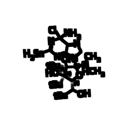 C[SiH](C)[C@@]1(N2CN=C3C2=N[C]([SnH3])=NC3(N)Cl)O[C@H](C(O)C(C)(C)C)[C@](O)(C(C)(C)C)[C@]1(O)C(C)(C)C